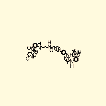 Cc1cnc(Nc2ccc(N3CCN(CC(=O)NCCCCNc4cccc5c4C(=O)N(C4CCC(=O)NC4=O)C5=O)CC3)cc2)nc1Nc1cccc(S(=O)(=O)NC(C)(C)C)c1